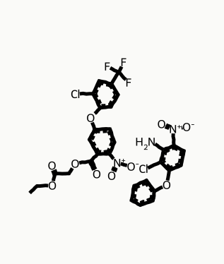 CCOC(=O)COC(=O)c1cc(Oc2ccc(C(F)(F)F)cc2Cl)ccc1[N+](=O)[O-].Nc1c([N+](=O)[O-])ccc(Oc2ccccc2)c1Cl